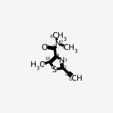 C#Cc1nc(C(=O)N(C)C)c(C)s1